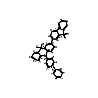 CC1(C)c2ccccc2-c2ccc(-c3ccc4c(c3)C(C)(C)c3ccccc3N4c3ccc(-c4ccccc4)cc3)cc21